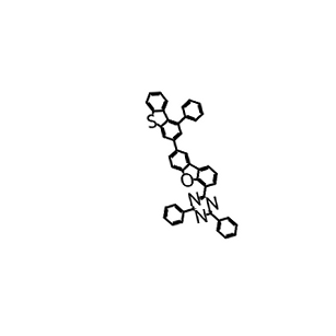 c1ccc(-c2nc(-c3ccccc3)nc(-c3cccc4c3oc3ccc(-c5cc(-c6ccccc6)c6c(c5)sc5ccccc56)cc34)n2)cc1